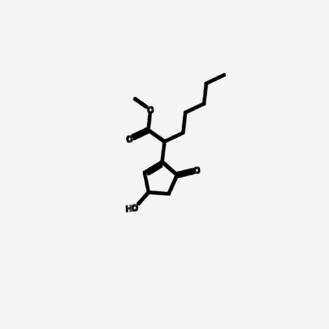 CCCCCC(C(=O)OC)C1=CC(O)CC1=O